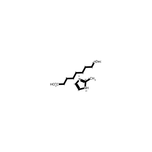 CCCCCCCCCCCCCCCCCC(=O)O.Cc1ncc[nH]1